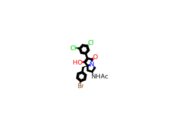 CC(=O)N[C@@H]1CN2C(=O)C(c3cc(Cl)cc(Cl)c3)=C(O)[C@@]2(Cc2ccc(Br)cc2)C1